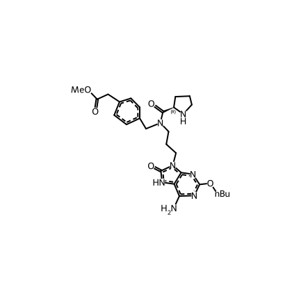 CCCCOc1nc(N)c2[nH]c(=O)n(CCCN(Cc3ccc(CC(=O)OC)cc3)C(=O)[C@H]3CCCN3)c2n1